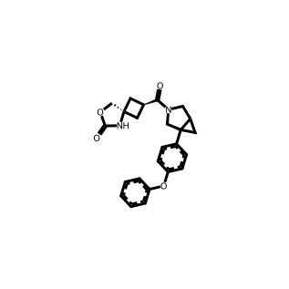 O=C1N[C@]2(CO1)C[C@H](C(=O)N1CC3CC3(c3ccc(Oc4ccccc4)cc3)C1)C2